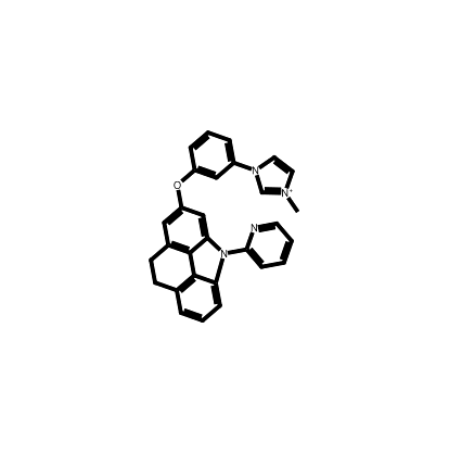 C[n+]1ccn(-c2cccc(Oc3cc4c5c6c(cccc6n(-c6ccccn6)c5c3)CC4)c2)c1